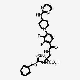 CC(C)(C)[C@@](CNC(=O)c1ccc(N2CCC(Nc3ncccn3)CC2)c(F)c1F)(NC(=O)OCc1ccccc1)C(=O)O